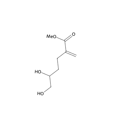 C=C(CCC(O)CO)C(=O)OC